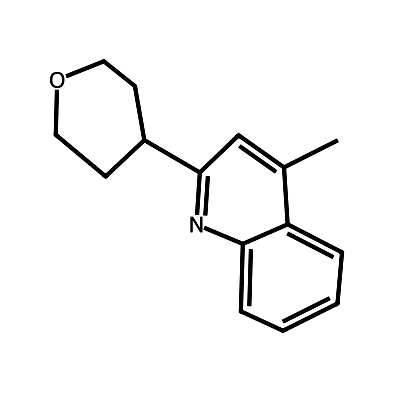 Cc1cc(C2CCOCC2)nc2ccccc12